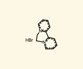 Br.c1cc[n+]2c(c1)-c1cccc[n+]1CC2